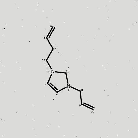 C=CCCN1C=CN(CC=C)C1